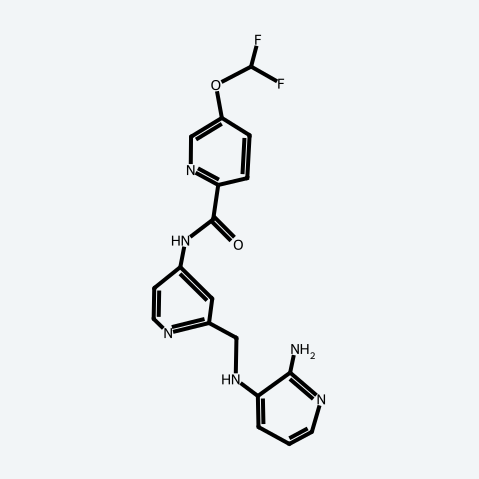 Nc1ncccc1NCc1cc(NC(=O)c2ccc(OC(F)F)cn2)ccn1